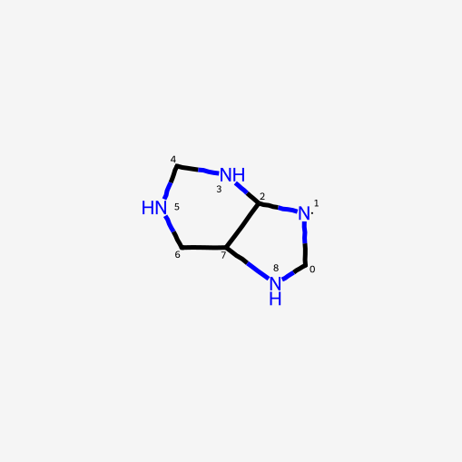 C1[N]C2NCNCC2N1